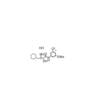 COc1cc(NC(=O)C(O)[C@H](N)CC2CCCCC2)cc(C(F)(F)F)c1.Cl